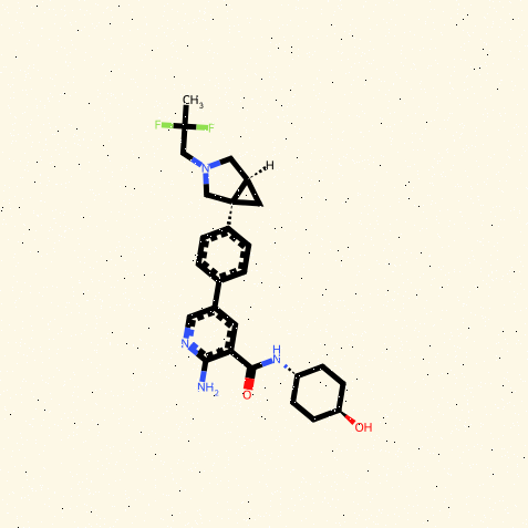 CC(F)(F)CN1C[C@H]2C[C@@]2(c2ccc(-c3cnc(N)c(C(=O)N[C@H]4CC[C@H](O)CC4)c3)cc2)C1